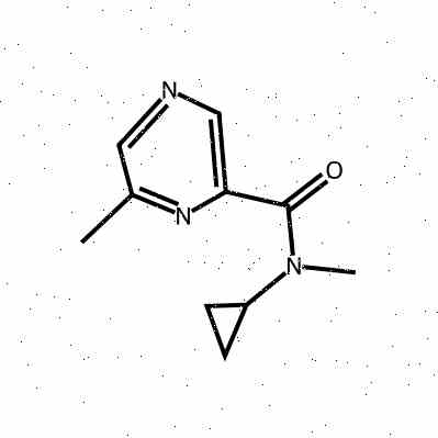 Cc1cncc(C(=O)N(C)C2CC2)n1